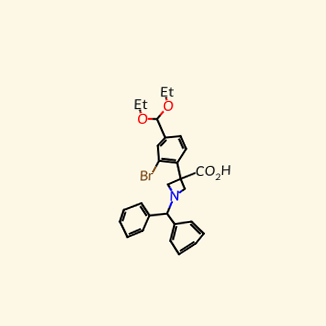 CCOC(OCC)c1ccc(C2(C(=O)O)CN(C(c3ccccc3)c3ccccc3)C2)c(Br)c1